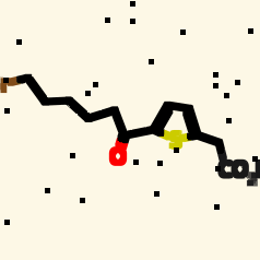 O=C(O)Cc1ccc(C(=O)CCCCCBr)s1